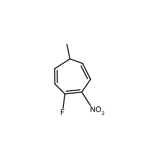 CC1C=CC(F)=C([N+](=O)[O-])C=C1